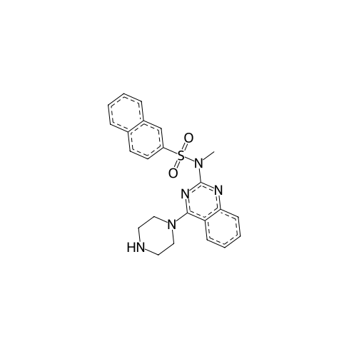 CN(c1nc(N2CCNCC2)c2ccccc2n1)S(=O)(=O)c1ccc2ccccc2c1